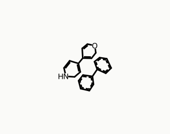 C1=CC(C2=CCOC=C2)=CCN1.c1ccc(-c2ccccc2)cc1